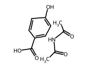 CC(=O)NC(C)=O.O=C(O)c1ccc(O)cc1